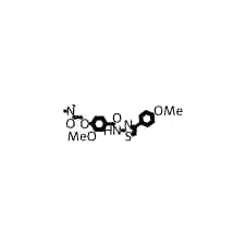 COc1ccc(-c2csc(NC(=O)c3ccc(OCC(=O)N(C)C)c(OC)c3)n2)cc1